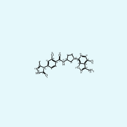 Cc1n[nH]c(=O)n1-c1ccc(C(=O)NC2CCN(c3ncc(Cl)c4c(N)noc34)C2)c(Cl)c1